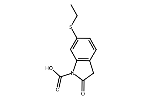 CCSc1ccc2c(c1)N(C(=O)O)C(=O)C2